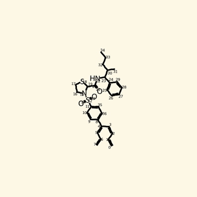 C=C/C=C\C(=C/C=C)c1ccc(S(=O)(=O)N2CCSC2C(=O)NC(c2ccccc2)C(C)CCC)cc1